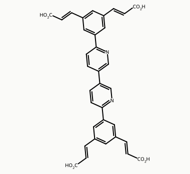 O=C(O)/C=C/c1cc(/C=C/C(=O)O)cc(-c2ccc(-c3ccc(-c4cc(/C=C/C(=O)O)cc(/C=C/C(=O)O)c4)nc3)cn2)c1